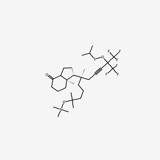 CC(C)SOC(C#CC[C@@](C)(CCCC(C)(C)O[Si](C)(C)C)[C@H]1CCC2C(=O)CCC[C@@]21C)(C(F)(F)F)C(F)(F)F